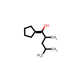 CC(C)CC(C)C(O)=C1CCCC1